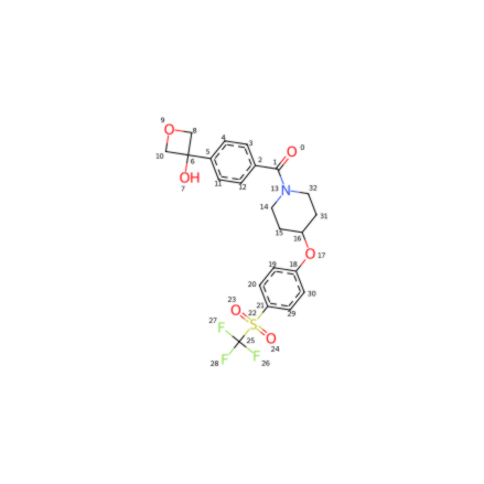 O=C(c1ccc(C2(O)COC2)cc1)N1CCC(Oc2ccc(S(=O)(=O)C(F)(F)F)cc2)CC1